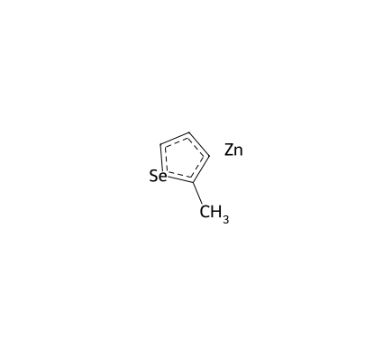 Cc1ccc[se]1.[Zn]